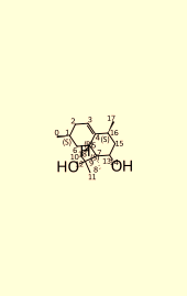 C[C@H]1CC=C2[C@@H](C1)[C@](C)(C(C)(C)O)C(O)C[C@@H]2C